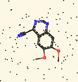 COc1cc2ncnc(C#N)c2cc1OC